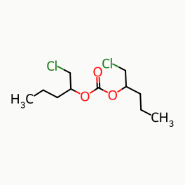 CCCC(CCl)OC(=O)OC(CCl)CCC